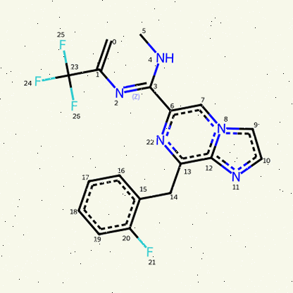 C=C(/N=C(\NC)c1cn2ccnc2c(Cc2ccccc2F)n1)C(F)(F)F